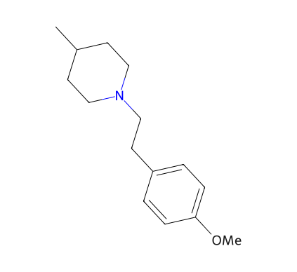 COc1ccc(CCN2CCC(C)CC2)cc1